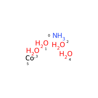 N.O.O.O.O.[Co]